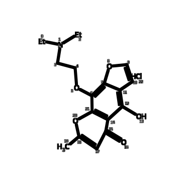 CCN(CC)CCOc1c2occc2c(O)c2c(=O)cc(C)oc12.Cl